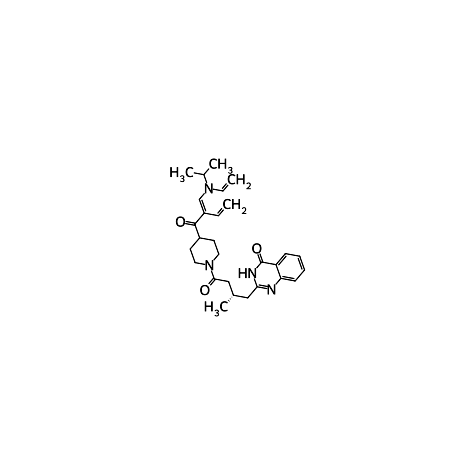 C=C/C(=C\N(C=C)C(C)C)C(=O)C1CCN(C(=O)C[C@@H](C)Cc2nc3ccccc3c(=O)[nH]2)CC1